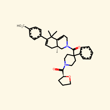 CC1(C)C(c2ccc(C(=O)O)cc2)=CC[C@]2(C)CN(C(=O)C3(c4ccccc4)CCN(C(=O)[C@@H]4CCCO4)CC3)CC=C12